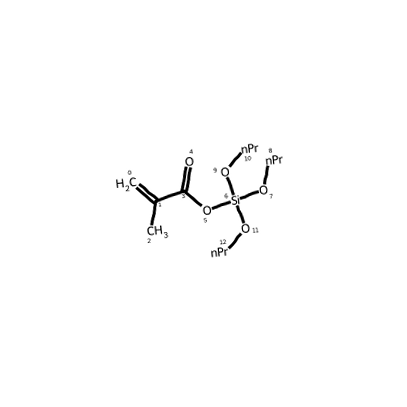 C=C(C)C(=O)O[Si](OCCC)(OCCC)OCCC